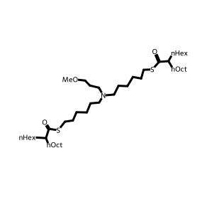 CCCCCCCCC(CCCCCC)C(=O)SCCCCCCN(CCCCCCSC(=O)C(CCCCCC)CCCCCCCC)CCCOC